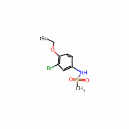 CC(C)(C)COc1ccc(NS(C)(=O)=O)cc1Br